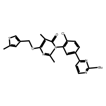 Cc1cc(COc2nc(C)n(-c3cc(-c4ccnc(C(C)(C)C)n4)ccc3Cl)c(=O)c2C)cs1